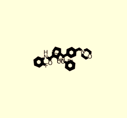 CCOC(=O)C1=C(C(=O)Nc2ccccc2F)C2C=CC1(C(Nc1ccccc1)c1ccc(CN3CCOCC3)cc1)O2